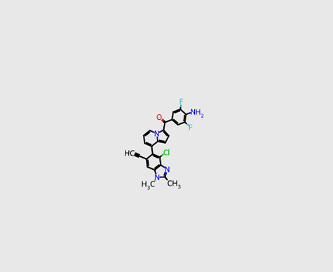 C#Cc1cc2c(nc(C)n2C)c(Cl)c1-c1cccn2c(C(=O)c3cc(F)c(N)c(F)c3)ccc12